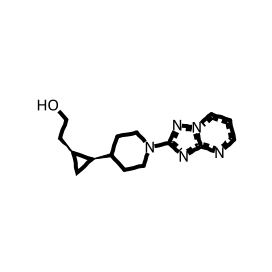 OCC[C@@H]1C[C@@H]1C1CCN(c2nc3ncccn3n2)CC1